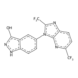 Oc1n[nH]c2ccc(-n3c(C(F)(F)F)nc4ccc(C(F)(F)F)nc43)cc12